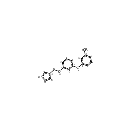 FC(F)(F)c1cccc(Oc2cccc(OCc3ccsc3)n2)c1